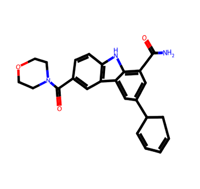 NC(=O)c1cc(C2C=CC=CC2)cc2c1[nH]c1ccc(C(=O)N3CCOCC3)cc12